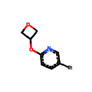 CCc1ccc(OC2COC2)nc1